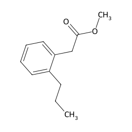 CCCc1ccccc1CC(=O)OC